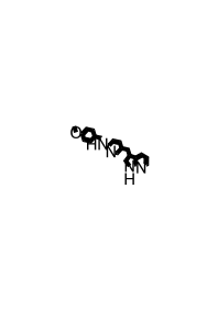 COC1=CCC(CNC2=NCC(CC3CNc4ncccc43)C=C2)C=C1